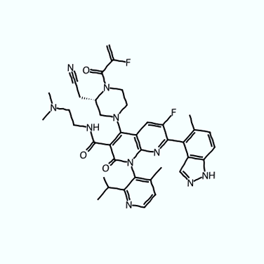 C=C(F)C(=O)N1CCN(c2c(C(=O)NCCN(C)C)c(=O)n(-c3c(C)ccnc3C(C)C)c3nc(-c4c(C)ccc5[nH]ncc45)c(F)cc23)C[C@@H]1CC#N